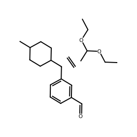 C=C.CC1CCC(Cc2cccc(C=O)c2)CC1.CCOC(C)OCC